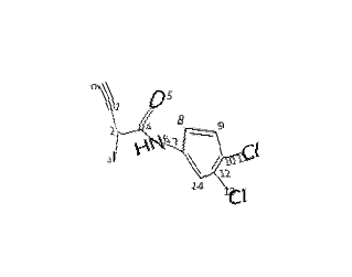 C#CC(I)C(=O)Nc1ccc(Cl)c(Cl)c1